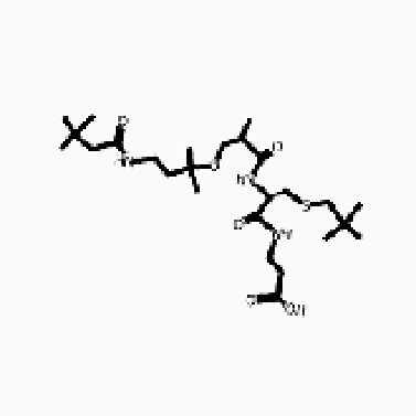 CC(COC(C)(C)CCNC(=O)CC(C)(C)C)C(=O)N[C@@H](CSCC(C)(C)C)C(=O)NCCC(=O)O